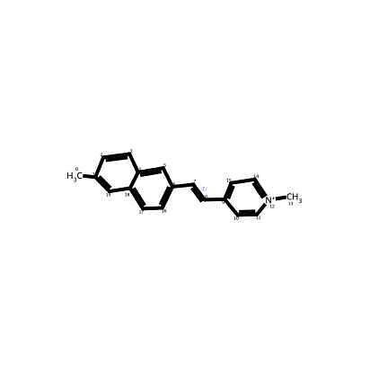 Cc1ccc2cc(/C=C/c3cc[n+](C)cc3)ccc2c1